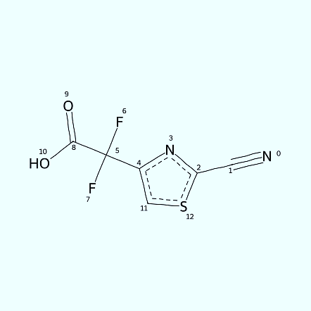 N#Cc1nc(C(F)(F)C(=O)O)cs1